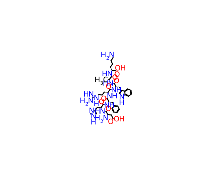 C[C@H](NC(=O)[C@H](Cc1c[nH]c2ccccc12)NC(=O)[C@H](CCCNC(=N)N)NC(=O)[C@@H](Cc1ccccc1)NC(=O)[C@H](Cc1c[nH]cn1)NC(=O)[C@@H](N)CC(=O)O)C(=O)N[C@@H](CCCCN)C(=O)O